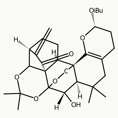 C=C1C(=O)[C@@]23C4OC(C)(C)OC25OC[C@]2(C6=C(CC[C@@H](OCC(C)C)O6)CC(C)(C)[C@H]2[C@@H]5O)[C@@H]3CC[C@@H]14